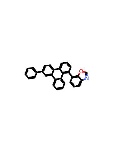 c1ccc(-c2ccc3c(c2)c2ccccc2c2c(-c4cccc5ncoc45)cccc32)cc1